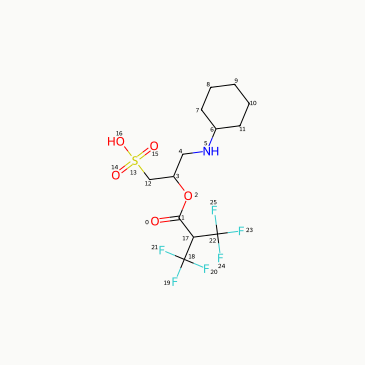 O=C(OC(CNC1CCCCC1)CS(=O)(=O)O)C(C(F)(F)F)C(F)(F)F